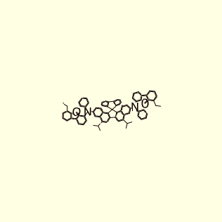 CCc1cccc2c1oc1c(N(c3ccccc3)c3ccc4c5c(cc(C(C)C)c4c3)-c3cc(C(C)C)c4cc(N(c6ccccc6)c6cccc7c6oc6c(CC)cccc67)ccc4c3C53c4ccccc4-c4ccccc43)cccc12